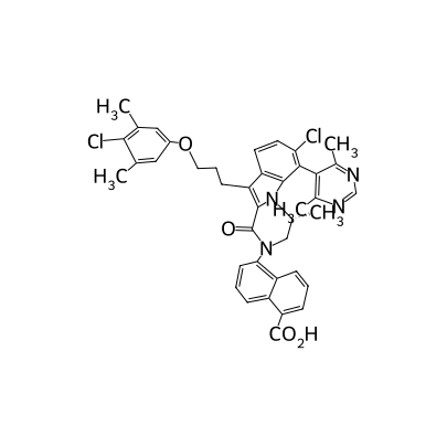 Cc1cc(OCCCc2c3n(c4c(-c5c(C)ncnc5C)c(Cl)ccc24)[C@H](C)CN(c2cccc4c(C(=O)O)cccc24)C3=O)cc(C)c1Cl